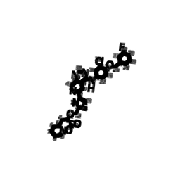 O=S(=O)=C(Cc1ccccn1)OCc1nc(-c2cc3c(Nc4ccc(OCc5cccc(F)c5)c(Cl)c4)ncnc3cn2)cs1